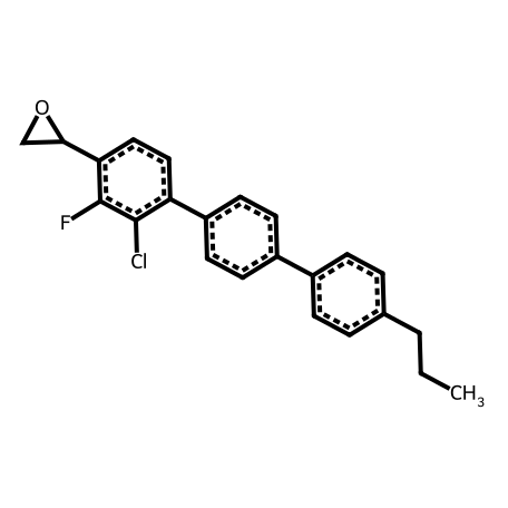 CCCc1ccc(-c2ccc(-c3ccc(C4CO4)c(F)c3Cl)cc2)cc1